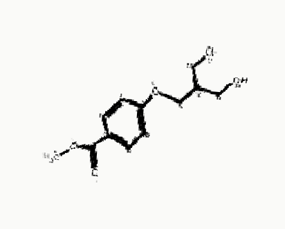 COC(=O)c1ccc(OCC(CO)CO)cc1